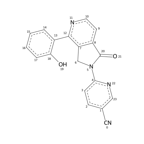 N#Cc1ccc(N2Cc3c(ccnc3-c3ccccc3O)C2=O)nc1